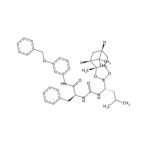 CC(C)C[C@H](NC(=O)N[C@@H](Cc1ccccc1)C(=O)Nc1cccc(OCc2ccccc2)c1)B1OC2C[C@H]3C[C@H](C3(C)C)[C@@]2(C)O1